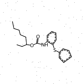 CCCCCC(CC)OC(=O)Nc1ccccc1Sc1ccccc1